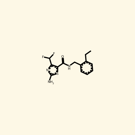 CCc1ccccc1CNC(=O)c1sc(N)nc1C(F)F